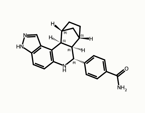 NC(=O)c1ccc([C@@H]2Nc3ccc4[nH]ncc4c3[C@H]3[C@@H]4CC[C@@H](C4)[C@H]32)cc1